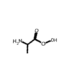 CC(N)C(=O)OO